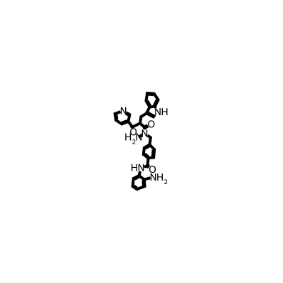 Nc1ccccc1NC(=O)c1ccc(CN(N)C(=O)C(Cc2c[nH]c3ccccc23)C(=O)c2cccnc2)cc1